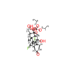 CCCOC(O)(OCCC)O[C@]1(C(=O)CO)[C@H](C)C[C@H]2[C@@H]3C[C@H](F)C4=CC(=O)C=C[C@]4(C)[C@@]3(F)[C@@H](O)C[C@@]21C